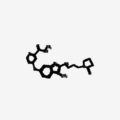 CNC(=O)c1cc(Oc2ccc3c(c2)nc(NCCCN2CCCC2=O)n3C)ccn1